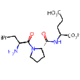 CC(C)C[C@H](N)C(=O)N1CCC[C@H]1C(=O)N[C@@H](CCC(=O)O)C(=O)O